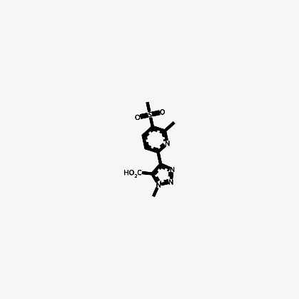 Cc1nc(-c2nnn(C)c2C(=O)O)ccc1S(C)(=O)=O